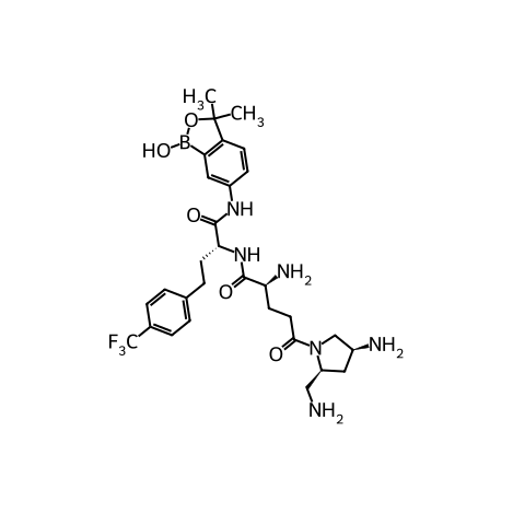 CC1(C)OB(O)c2cc(NC(=O)[C@@H](CCc3ccc(C(F)(F)F)cc3)NC(=O)[C@@H](N)CCC(=O)N3C[C@@H](N)C[C@H]3CN)ccc21